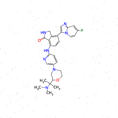 CN(C)C(C)(C)C1CN(c2ccc(Nc3ccc(-c4cnc5cc(F)ccn45)c4c3C(=O)NC4)nc2)CCO1